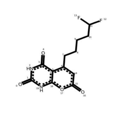 O=c1[nH]c(=O)c2c(CCCCC(F)F)cc(=O)oc2[nH]1